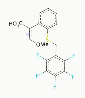 CO/C=C(/C(=O)O)c1ccccc1SCc1c(F)c(F)c(F)c(F)c1F